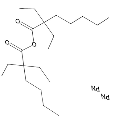 CCCCCC(CC)(CC)C(=O)OC(=O)C(CC)(CC)CCCC.[Nd].[Nd]